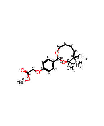 CC(C)(C)OC(=O)COc1ccc(B2OCCCCC(C)(C)C(C)(C)O2)cc1